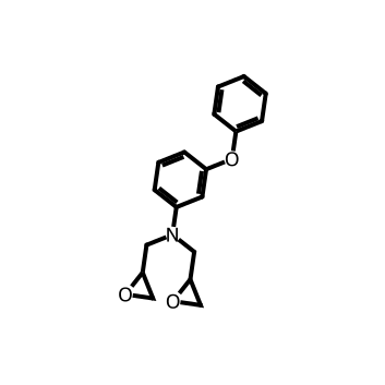 c1ccc(Oc2cccc(N(CC3CO3)CC3CO3)c2)cc1